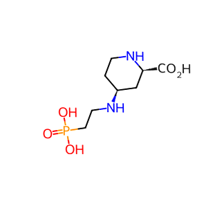 O=C(O)[C@H]1C[C@@H](NCCP(=O)(O)O)CCN1